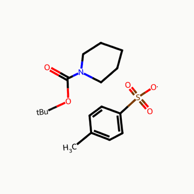 CC(C)(C)OC(=O)N1CCCCC1.Cc1ccc(S([O])(=O)=O)cc1